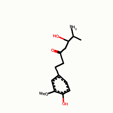 BC(C)C(O)CC(=O)CCc1ccc(O)c(OC)c1